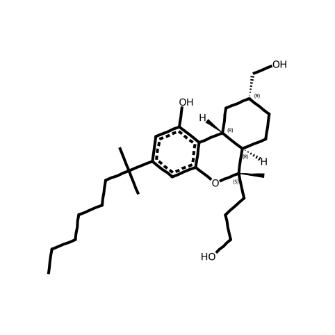 CCCCCCC(C)(C)c1cc(O)c2c(c1)O[C@@](C)(CCCO)[C@@H]1CC[C@@H](CO)C[C@@H]21